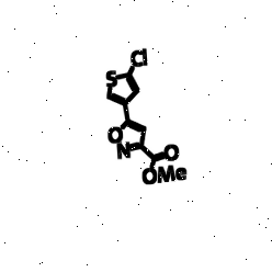 COC(=O)c1cc(-c2csc(Cl)c2)on1